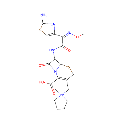 CO/N=C(\C(=O)NC1C(=O)N2C(C(=O)O)=C(C[N+]3(C)CCCC3)CSC12)c1csc(N)n1